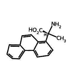 C[C@](N)(C(=O)O)c1cccc2c1ccc1ccccc12